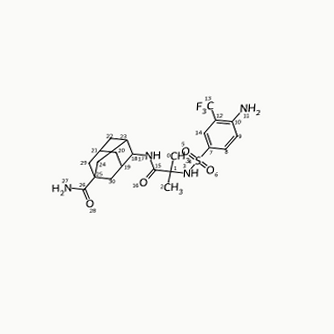 CC(C)(NS(=O)(=O)c1ccc(N)c(C(F)(F)F)c1)C(=O)NC1C2CC3CC1CC(C(N)=O)(C3)C2